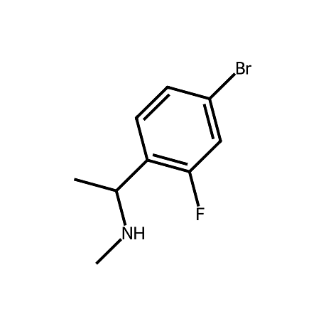 CNC(C)c1ccc(Br)cc1F